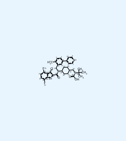 Cc1ccc(-c2ccncc2)cc1CN(C(=O)c1sc2c(F)ccc(F)c2c1Cl)C1CCC(CN(C(=O)O)C(C)(C)C)CC1